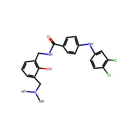 CCCN(CCC)Cc1cccc(CNC(=O)c2ccc(Nc3ccc(Cl)c(Cl)c3)cc2)c1O